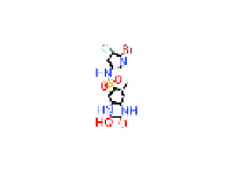 Cc1cc2c(cc1S(=O)(=O)Nc1cnc(Br)c(Cl)c1)NC(O)C(=O)N2